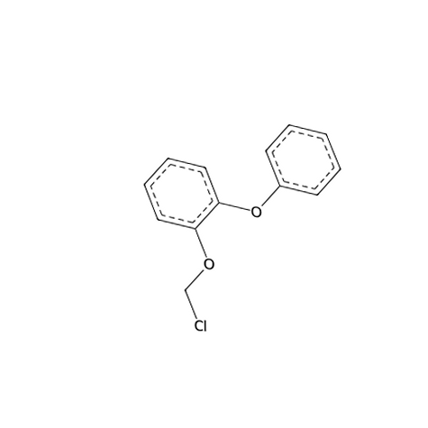 ClCOc1ccccc1Oc1ccccc1